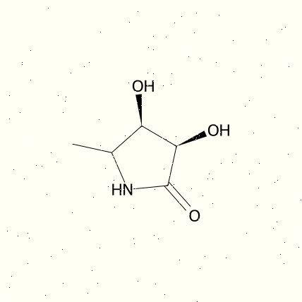 CC1NC(=O)[C@H](O)[C@@H]1O